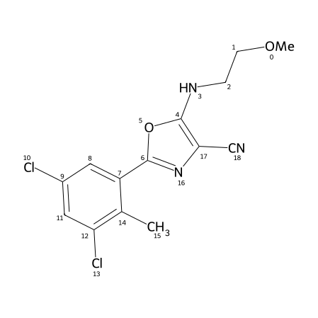 COCCNc1oc(-c2cc(Cl)cc(Cl)c2C)nc1C#N